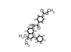 COC(=O)c1ccc(C(=O)Nc2ccc3c(c2)C(c2ccccc2)=CC3(C)C)cc1